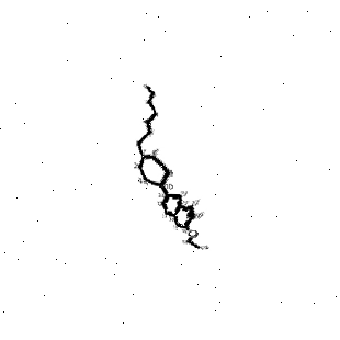 CCCCCCCC1CCC(c2ccc3cc(OCC)ccc3c2)CC1